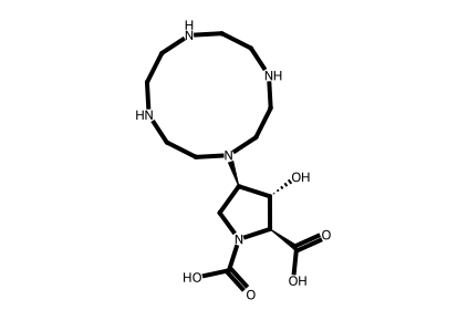 O=C(O)[C@@H]1[C@@H](O)[C@H](N2CCNCCNCCNCC2)CN1C(=O)O